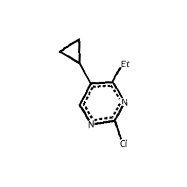 CCc1nc(Cl)ncc1C1CC1